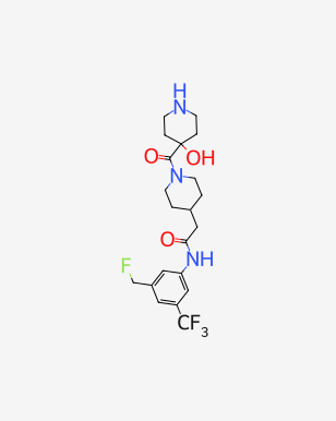 O=C(CC1CCN(C(=O)C2(O)CCNCC2)CC1)Nc1cc(CF)cc(C(F)(F)F)c1